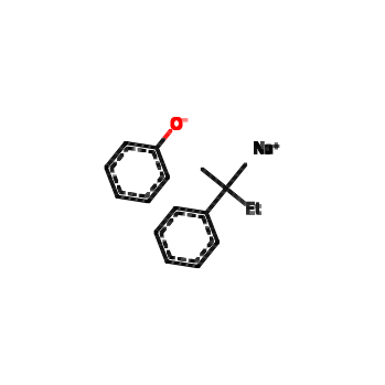 CCC(C)(C)c1ccccc1.[Na+].[O-]c1ccccc1